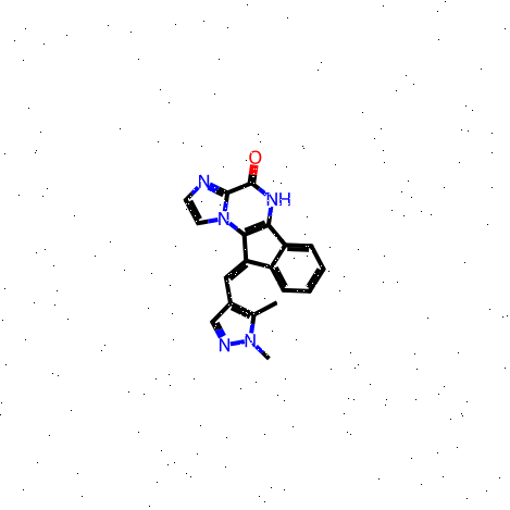 Cc1c(C=c2c3ccccc3c3[nH]c(=O)c4nccn4c23)cnn1C